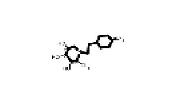 C[C@@H]1[C@@H](O)[C@H](O)[C@@H](O)CN1CCC1CCC(C(F)(F)F)CC1